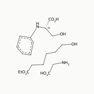 CCOC(=O)CCCCCO.NCC(=O)O.O=C(O)[C@H](CO)Nc1ccccc1